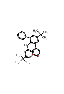 CC(C)(C)c1cc(Cl)cc(Nc2c(-c3ccccc3)cc(C(C)(C)C)cc2-c2ccccc2)c1